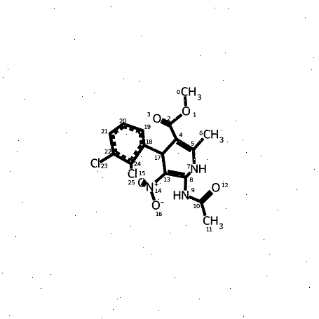 COC(=O)C1=C(C)NC(NC(C)=O)=C([N+](=O)[O-])C1c1cccc(Cl)c1Cl